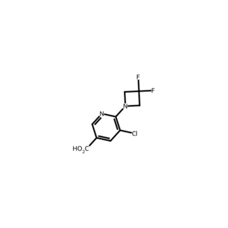 O=C(O)c1cnc(N2CC(F)(F)C2)c(Cl)c1